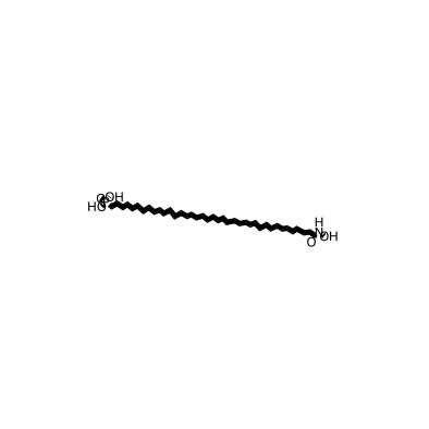 O=C(CCCCCCCCCCCCCCCCCCCCCCCCCCCCCCCCCCCCCCP(=O)(O)O)NO